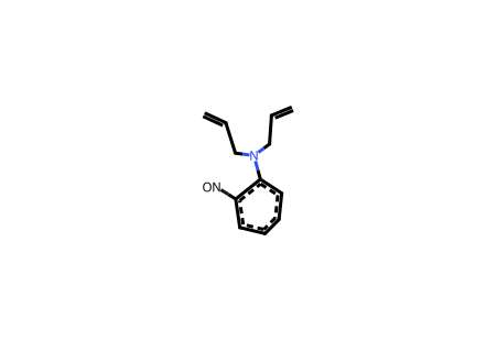 C=CCN(CC=C)c1ccccc1N=O